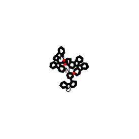 c1ccc2c(c1)-c1ccccc1C21c2ccccc2-c2c1cc(N(c1ccc(-c3cccc4oc5ccccc5c34)cc1)c1ccc3c(c1)C1(c4ccccc4-3)c3ccccc3-n3c4ccccc4c4cccc1c43)c1ccccc21